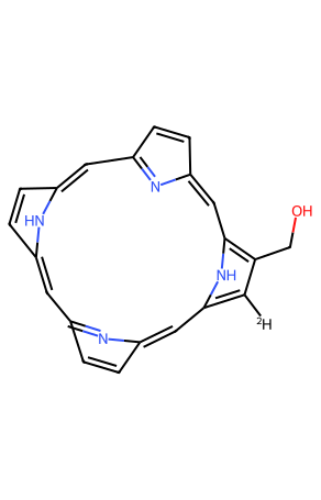 [2H]c1c(CO)c2cc3nc(cc4ccc(cc5nc(cc1[nH]2)C=C5)[nH]4)C=C3